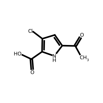 CC(=O)c1cc(Cl)c(C(=O)O)[nH]1